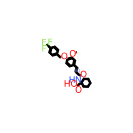 COc1cc(/C=C/C(=O)NC2(C(=O)O)CCCCC2)ccc1OCc1ccc(C(F)(F)F)cc1